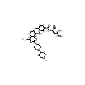 Cc1ccc(C(=O)N/C(N)=C/C(=N)C(C)(C)C)cc1Nc1ncnc2c(N)nc(N3CCN(C4CCN(C)CC4)CC3)nc12